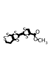 COC(=O)C1=CS/C(=C2/SC3=C(SSCC3)S2)S1